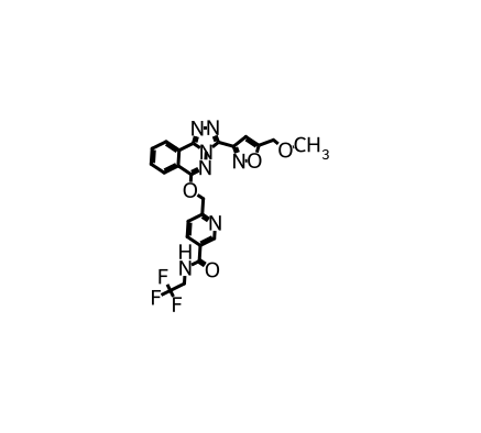 COCc1cc(-c2nnc3c4ccccc4c(OCc4ccc(C(=O)NCC(F)(F)F)cn4)nn23)no1